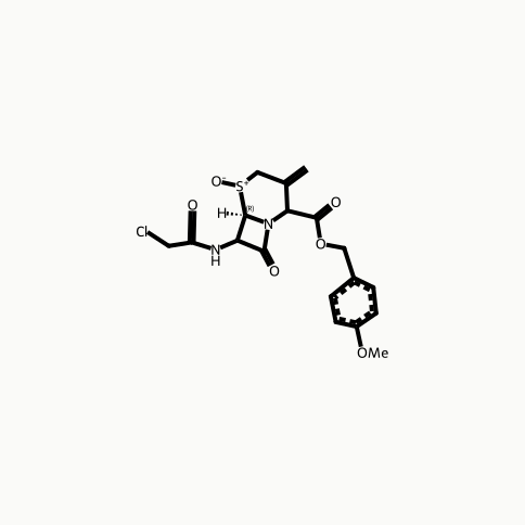 C=C1C[S+]([O-])[C@@H]2C(NC(=O)CCl)C(=O)N2C1C(=O)OCc1ccc(OC)cc1